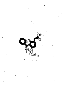 Nc1c(CC(=O)O)cccc1C(=O)c1ccccc1.O.O.[CaH2]